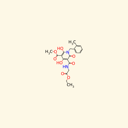 CCOC(=O)CNC(=O)c1c(O)c(C(=O)OC)c(O)n(Cc2ccccc2C)c1=O